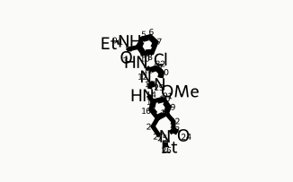 CCNC(=O)c1ccccc1Nc1nc(Nc2cc3c(cc2OC)CC(=O)N(CC)CC3)ncc1Cl